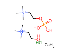 C[N+](C)(C)CCO.C[N+](C)(C)CCOP(=O)(O)O.Cl.[CaH2]